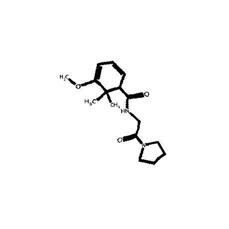 COC1=CC=CC(C(=O)NCC(=O)N2CCCC2)C1(C)C